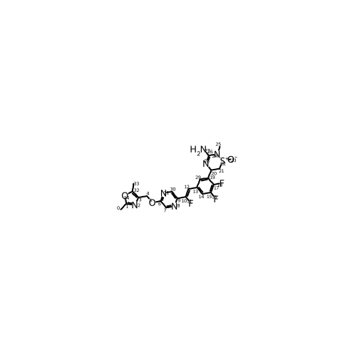 Cc1nc(COc2cnc(/C(F)=C/c3cc(F)c(F)c(C4C[S+]([O-])N(C)C(N)=N4)c3)cn2)c(C)o1